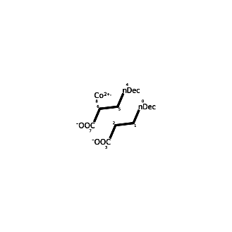 CCCCCCCCCCCCC(=O)[O-].CCCCCCCCCCCCC(=O)[O-].[Co+2]